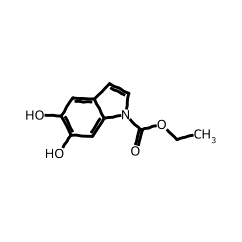 CCOC(=O)n1ccc2cc(O)c(O)cc21